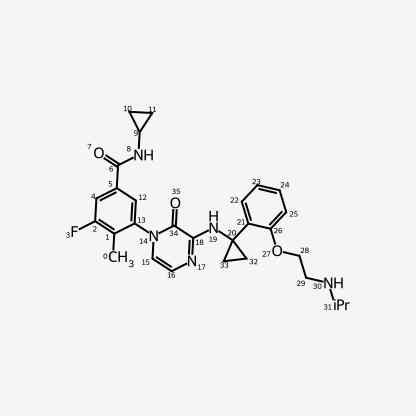 Cc1c(F)cc(C(=O)NC2CC2)cc1-n1ccnc(NC2(c3ccccc3OCCNC(C)C)CC2)c1=O